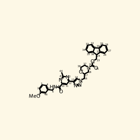 COc1cccc(CNC(=O)c2cc(-c3cn(CC4CN(C(=O)OCC5c6ccccc6-c6ccccc65)CCO4)nn3)nc(C)n2)c1